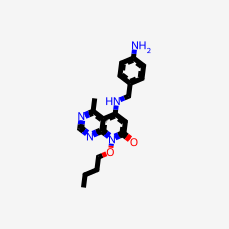 CCCCOn1c(=O)cc(NCc2ccc(N)cc2)c2c(C)ncnc21